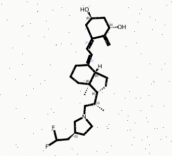 C=C1/C(=C\C=C2/CCC[C@]3(C)[C@@H]([C@H](C)CN4CC[C@@H](CC(F)F)C4)CC[C@@H]23)C[C@@H](O)C[C@@H]1O